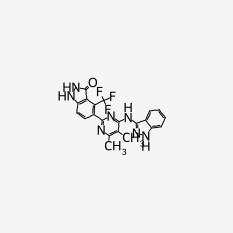 Cc1nc(-c2ccc3[nH][nH]c(=O)c3c2C(F)(F)F)nc(Nc2n[nH]c3ccccc23)c1C